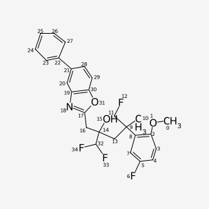 COc1ccc(F)cc1C(C)(CF)CC(O)(Cc1nc2cc(-c3ccccc3)ccc2o1)C(F)F